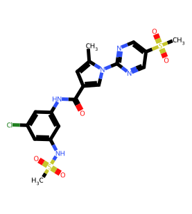 Cc1cc(C(=O)Nc2cc(Cl)cc(NS(C)(=O)=O)c2)cn1-c1ncc(S(C)(=O)=O)cn1